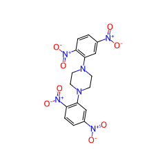 O=[N+]([O-])c1ccc([N+](=O)[O-])c(N2CCN(c3cc([N+](=O)[O-])ccc3[N+](=O)[O-])CC2)c1